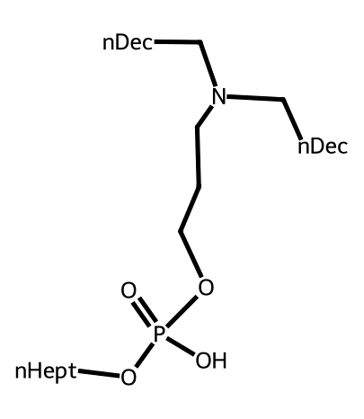 CCCCCCCCCCCN(CCCCCCCCCCC)CCCOP(=O)(O)OCCCCCCC